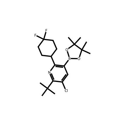 CC(C)(C)c1nc(C2CCC(F)(F)CC2)c(B2OC(C)(C)C(C)(C)O2)cc1Cl